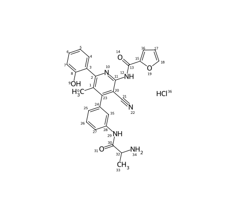 Cc1c(-c2ccccc2O)nc(NC(=O)c2ccco2)c(C#N)c1-c1cccc(NC(=O)C(C)N)c1.Cl